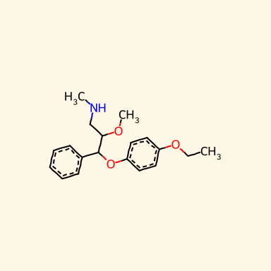 CCOc1ccc(OC(c2ccccc2)C(CNC)OC)cc1